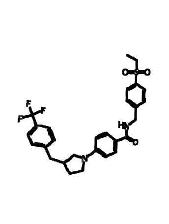 CCS(=O)(=O)c1ccc(CNC(=O)c2ccc(N3CCC(Cc4ccc(C(F)(F)F)cc4)C3)cc2)cc1